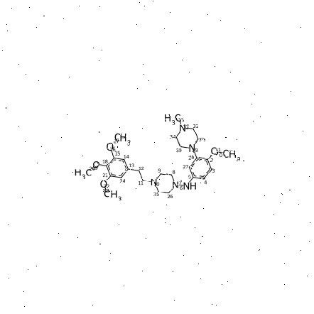 COc1ccc(NN2CCN(CCc3cc(OC)c(OC)c(OC)c3)CC2)cc1N1CCN(C)CC1